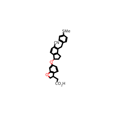 CSc1ccc(Cc2c(C#N)ccc3c2CC[C@H]3Oc2ccc3c(c2)OCC3CC(=O)O)cc1